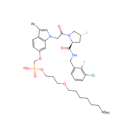 CCCCCCCCCCCCCCCCOCCCOP(=O)(O)COc1ccc2c(C(C)=O)cn(CC(=O)N3C[C@H](F)C[C@H]3C(=O)NCc3cccc(Cl)c3F)c2c1